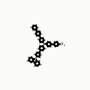 FC(F)(F)c1ccc(-c2ccc(N(c3ccc(-c4ccc(-c5ccccc5)cc4)cc3)c3ccc(-c4ccc(-n5c6ccccc6c6ccccc65)cc4)cc3)cc2)cc1